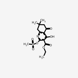 CCOC(=O)c1c(OS(C)(=O)=O)nc2c(c1O)C(=O)CC(C)(C)C2